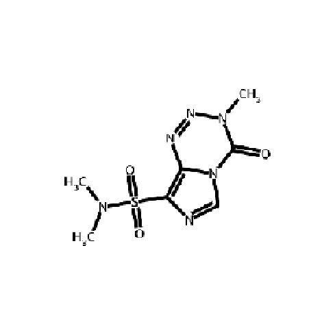 CN(C)S(=O)(=O)c1ncn2c(=O)n(C)nnc12